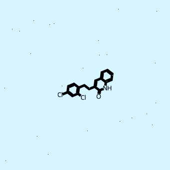 O=c1[nH]c2ccccc2cc1CCc1ccc(Cl)cc1Cl